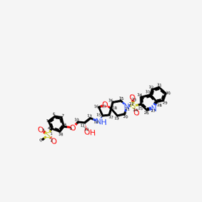 CS(=O)(=O)c1cccc(OC[C@@H](O)CN[C@@H]2COC3(CCN(S(=O)(=O)c4cnc5ccccc5c4)CC3)C2)c1